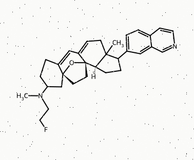 CN(CCF)C1CCC2=CC3=CCC4(C)C(c5ccc6ccncc6c5)CC[C@H]4[C@@]34CC[C@]2(C1)O4